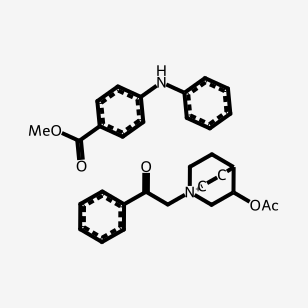 CC(=O)OC1C[N+]2(CC(=O)c3ccccc3)CCC1CC2.COC(=O)c1ccc(Nc2ccccc2)cc1